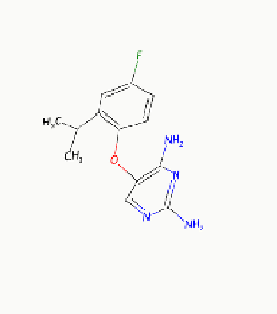 CC(C)c1cc(F)ccc1Oc1cnc(N)nc1N